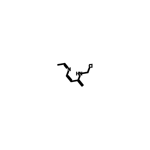 C=C(/C=C\N=C/C)NCCl